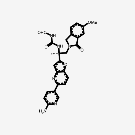 COc1ccc2c(c1)C(=O)N(C[C@](C)(NC(=O)NC=O)c1cc3nc(-c4ccc(N)nc4)ccc3o1)C2